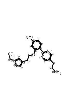 N#Cc1ccc(-c2ncc(CCN)cn2)c(OCCc2cnn(CC(F)(F)F)c2)c1